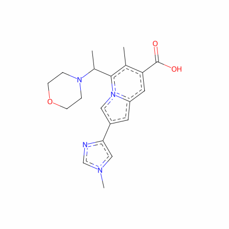 Cc1c(C(=O)O)cc2cc(-c3cn(C)cn3)cn2c1C(C)N1CCOCC1